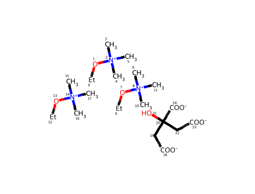 CCO[N+](C)(C)C.CCO[N+](C)(C)C.CCO[N+](C)(C)C.O=C([O-])CC(O)(CC(=O)[O-])C(=O)[O-]